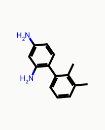 Cc1cccc(-c2ccc(N)cc2N)c1C